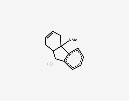 CNC12CC=CCC1Cc1ccccc12.Cl